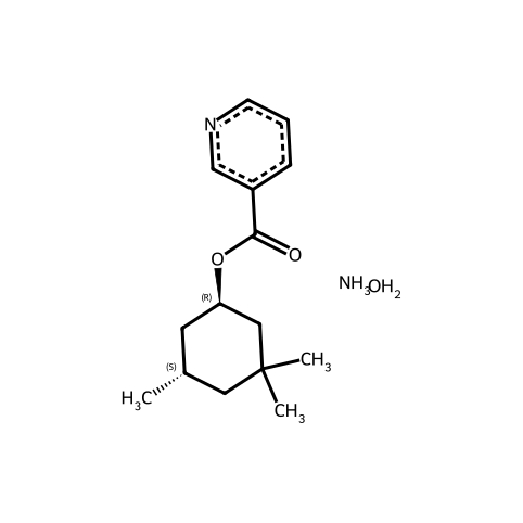 C[C@@H]1C[C@@H](OC(=O)c2cccnc2)CC(C)(C)C1.N.O